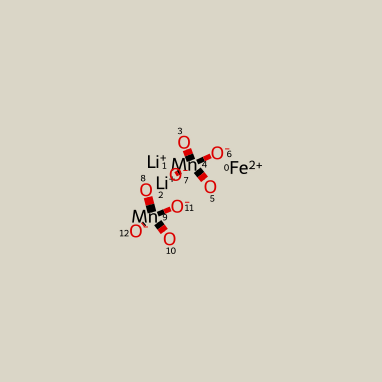 [Fe+2].[Li+].[Li+].[O]=[Mn](=[O])([O-])[O-].[O]=[Mn](=[O])([O-])[O-]